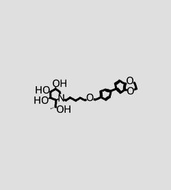 C[C@@H](O)[C@H]1[C@@H](O)[C@H](O)[C@@H](O)CN1CCCCCOCc1ccc(-c2ccc3c(c2)OCCO3)cc1